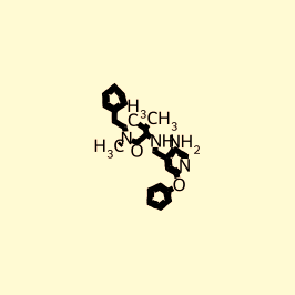 CC(C)C(NCc1cc(Oc2ccccc2)ncc1N)C(=O)N(C)CCc1ccccc1